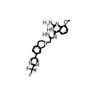 COc1cccc2/c(=N/C(=N)CN3CCc4ccc(-c5cnc(C(F)(F)F)nc5)cc4C3)[nH]c(N)nc12